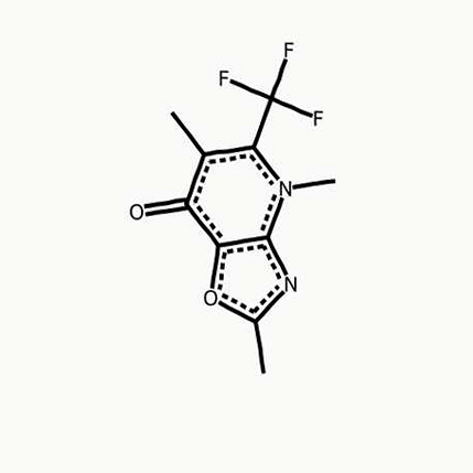 Cc1nc2c(o1)c(=O)c(C)c(C(F)(F)F)n2C